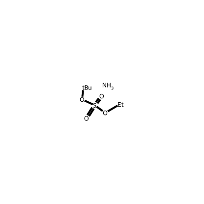 CCOS(=O)(=O)OC(C)(C)C.N